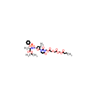 CCCC(=O)OCOC(=O)COCC(=O)OCn1c(=O)ccn([C@@H]2O[C@H](COP(=O)(N[C@@H](C)C(=O)OC(C)C)Oc3ccccc3)C[C@@H]2C)c1=O